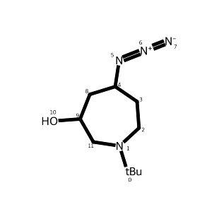 CC(C)(C)N1CCC(N=[N+]=[N-])CC(O)C1